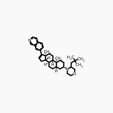 CC(C)(C)CC1COCCN1[C@@H]1CC[C@@]2(C)[C@@H](CC[C@@H]3[C@@H]2CC[C@]2(C)C(c4ccc5ccncc5c4)=CC[C@@H]32)C1